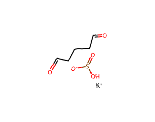 O=CCCCC=O.O=S([O-])O.[K+]